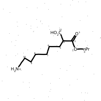 CCCOC(=O)C(CCCCCCN)C(=O)O